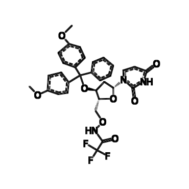 COc1ccc(C(O[C@H]2C[C@H](n3ccc(=O)[nH]c3=O)O[C@@H]2CONC(=O)C(F)(F)F)(c2ccccc2)c2ccc(OC)cc2)cc1